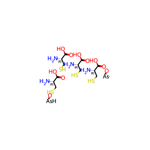 N[C@@H](CS)C(=O)O.N[C@@H](CS)C(=O)O.N[C@@H](CS)C(=O)O.N[C@@H](CS)C(=O)O.O=[AsH].O=[As]